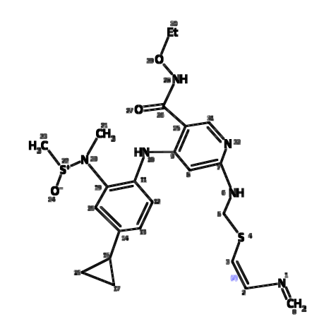 C=N/C=C\SCNc1cc(Nc2ccc(C3CC3)cc2N(C)[S+](C)[O-])c(C(=O)NOCC)cn1